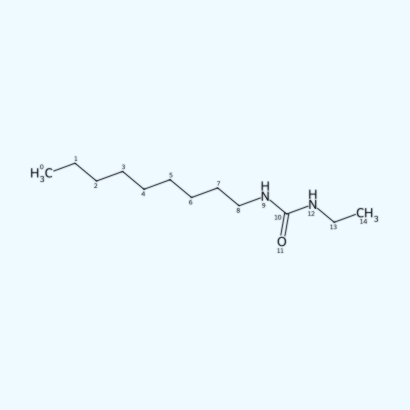 CCCCCCCCCNC(=O)NCC